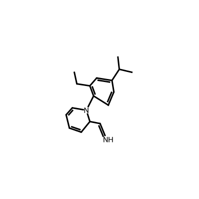 CCc1cc(C(C)C)ccc1N1C=CC=CC1C=N